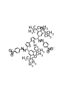 CC(C)(C)C1=CC(C(/N=N/c2ccc([N+](=O)[O-])cc2)c2ccc(-c3ccc(C(/N=N/c4ccc([N+](=O)[O-])cc4)C4C=C(C(C)(C)C)C(=O)C(C(C)(C)C)=C4)s3)s2)C=C(C(C)(C)C)C1=O